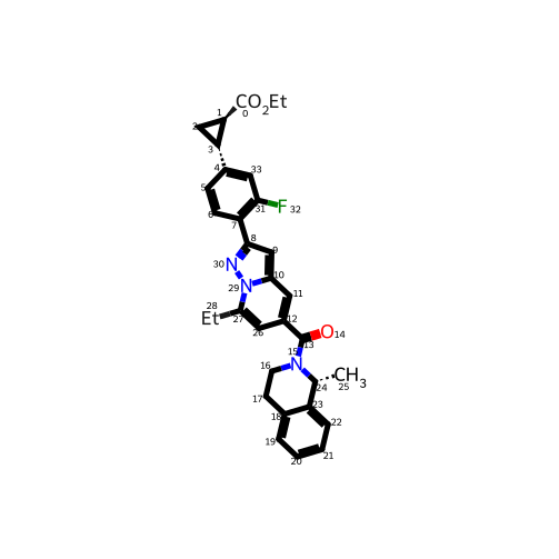 CCOC(=O)[C@@H]1C[C@H]1c1ccc(-c2cc3cc(C(=O)N4CCc5ccccc5[C@H]4C)cc(CC)n3n2)c(F)c1